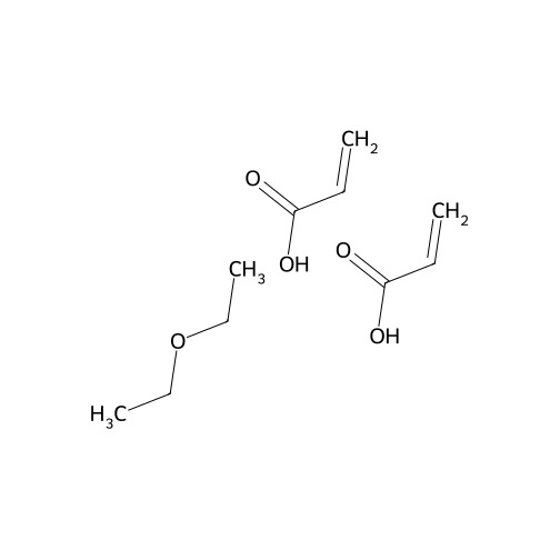 C=CC(=O)O.C=CC(=O)O.CCOCC